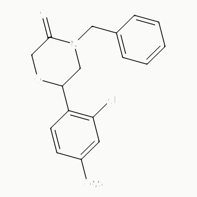 COc1ccc(C2CN(Cc3ccccc3)C(=O)CO2)c(Cl)c1